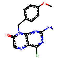 COc1ccc(Cn2c(=O)cnc3c(Cl)nc(N)nc32)cc1